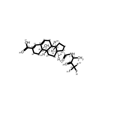 CC(NC(=O)[C@H]1CC[C@H]2[C@@H]3CC=C4C=C(C(=O)O)CC[C@]4(C)[C@H]3CC[C@]12C)C(=O)C(F)(F)F